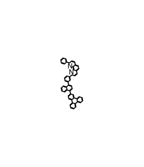 c1ccc(-c2ccc3ccc4ccc(-c5cccc(-c6ccc(-c7ccc8c9ccccc9c9ccccc9c8c7)c7ccccc67)c5)nc4c3n2)cc1